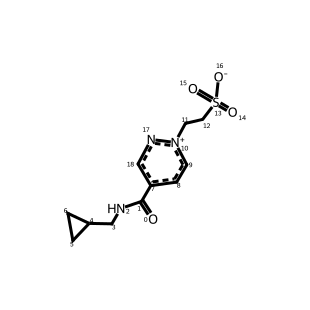 O=C(NCC1CC1)c1cc[n+](CCS(=O)(=O)[O-])nc1